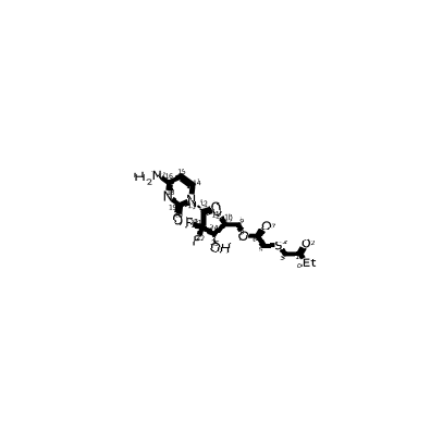 CCC(=O)CSCC(=O)OCC1O[C@@H](n2ccc(N)nc2=O)C(F)(F)[C@H]1O